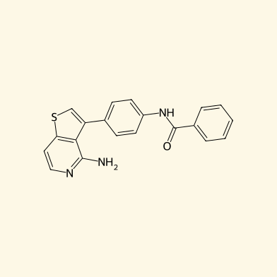 Nc1nccc2scc(-c3ccc(NC(=O)c4ccccc4)cc3)c12